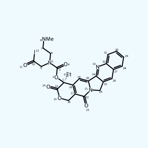 CC[C@@]1(OC(=O)N(CCNC)CC(=O)I)C(=O)OCc2c1cc1n(c2=O)Cc2cc3ccccc3nc2-1